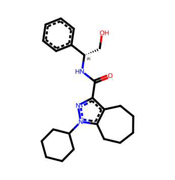 O=C(N[C@@H](CO)c1ccccc1)c1nn(C2CCCCC2)c2c1CCCCC2